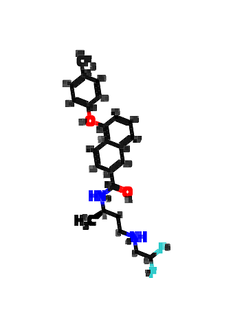 C[C@H](CCNCC(F)F)NC(=O)c1ccc2c(Oc3ccc(C(F)(F)F)cc3)cccc2c1